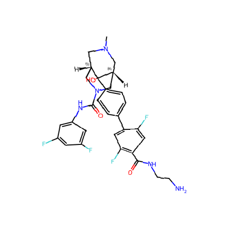 CN1C[C@@H]2CN(C(=O)Nc3cc(F)cc(F)c3)C[C@H](C1)C2(O)c1ccc(-c2cc(F)c(C(=O)NCCN)cc2F)cc1